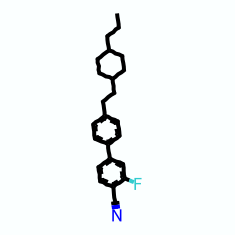 CCCC1CCC(CCc2ccc(-c3ccc(C#N)c(F)c3)cc2)CC1